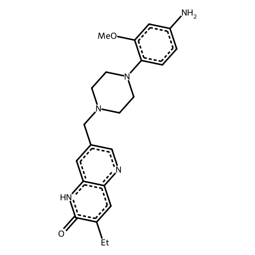 CCc1cc2ncc(CN3CCN(c4ccc(N)cc4OC)CC3)cc2[nH]c1=O